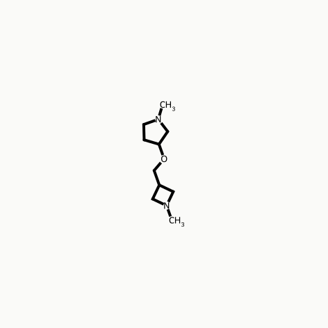 CN1CC(COC2CCN(C)C2)C1